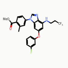 COC(=O)c1ccc(-n2cnc3c(NCCC(F)(F)F)cc(Oc4cccc(F)c4)cc32)cc1C